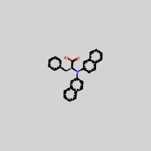 O=C(O)[C@H](Cc1ccccc1)N(c1ccc2ccccc2c1)c1ccc2ccccc2c1